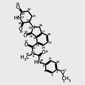 COc1ccc(NC(=O)N(C)C(=O)c2cccc3c2C(=O)N(C2CCC(=O)NC2=O)C3)cc1